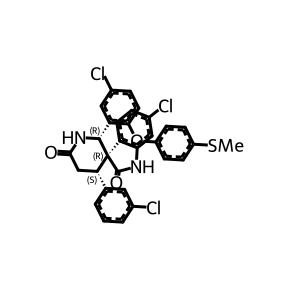 CSc1ccc(Oc2ccc(Cl)cc2[C@H]2NC(=O)C[C@@H](c3cccc(Cl)c3)[C@]23C(=O)Nc2cc(Cl)ccc23)cc1